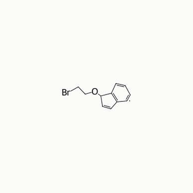 BrCCOC1C=Cc2[c]cccc21